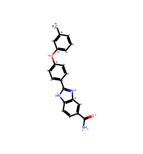 NC(=O)c1ccc2[nH]c(-c3ccc(Oc4cccc(C(F)(F)F)c4)cc3)nc2c1